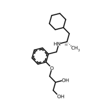 C[C@@H](CC1CCCCC1)NCc1ccccc1OCC(O)CO